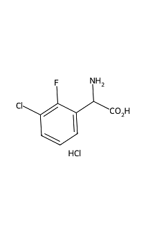 Cl.NC(C(=O)O)c1cccc(Cl)c1F